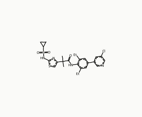 CCc1cc(-c2cncc(Cl)c2)cc(CC)c1NC(=O)C(C)(C)c1csc(NS(=O)(=O)C2CC2)n1